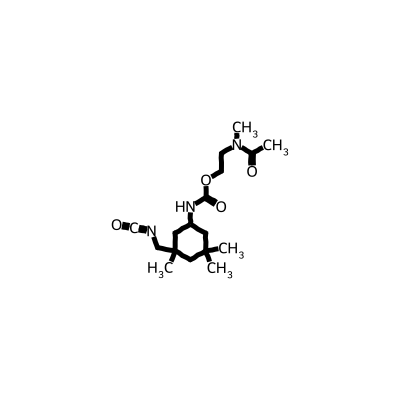 CC(=O)N(C)CCOC(=O)NC1CC(C)(C)CC(C)(CN=C=O)C1